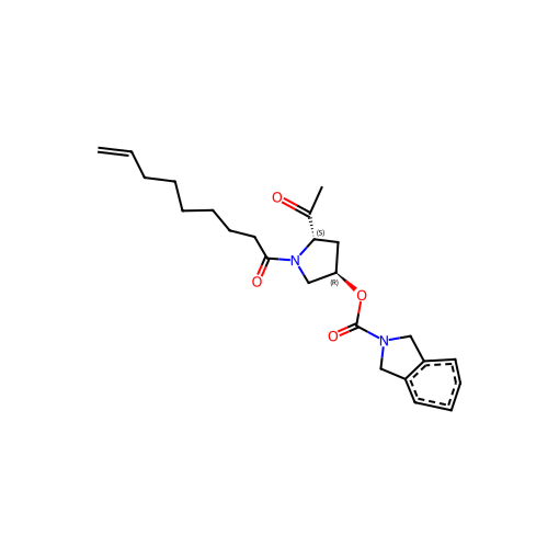 C=CCCCCCCC(=O)N1C[C@H](OC(=O)N2Cc3ccccc3C2)C[C@H]1C(C)=O